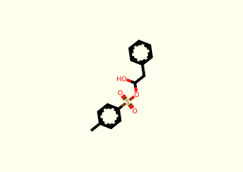 Cc1ccc(S(=O)(=O)OC(O)Cc2ccccc2)cc1